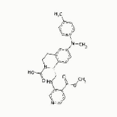 COC(=O)c1ccncc1NC[C@H]1c2ccc(N(C)c3ccc(C)cc3)cc2CCN1C(=O)O